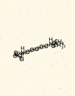 CC(C)(C)OC(=O)NCCOCCOCCOCCOCCOCCNc1cc(Cl)cc([N+](=O)[O-])c1